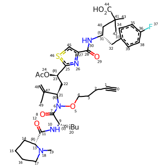 C#CCCCON(C(=O)[C@@H](NC(=O)[C@H]1CCCCN1C)[C@@H](C)CC)[C@H](C[C@@H](OC(C)=O)c1nc(C(=O)N[C@@H](Cc2ccc(F)cc2)CC(C)(C)C(=O)O)cs1)C(=C)C